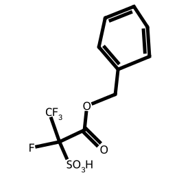 O=C(OCc1ccccc1)C(F)(C(F)(F)F)S(=O)(=O)O